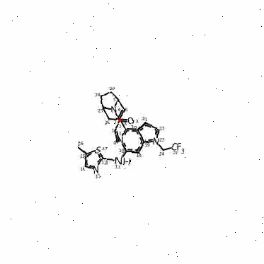 C=CC(=O)N1C2C=C(c3nc(Nc4ncc(C)s4)cc4c3ccn4CC(F)(F)F)CC1CC2